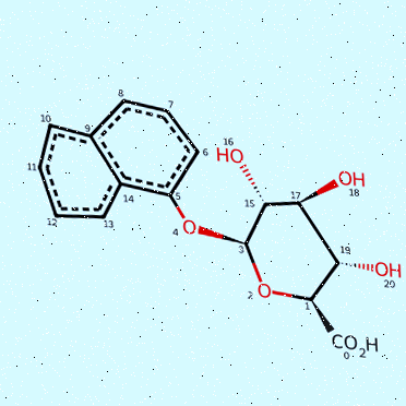 O=C(O)[C@H]1O[C@@H](Oc2cccc3ccccc23)[C@H](O)[C@@H](O)[C@@H]1O